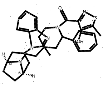 Cc1snc(C(=O)N2CCC(CCN3[C@@H]4CC[C@H]3CC(n3c(C)nc5ccccc53)C4)CC2c2ccccc2)c1O